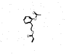 C=CC(=O)OCCc1ccccc1OC(C)=O